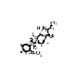 C[C@@H]1CN(S(=O)(=O)c2ccccc2[N+](=O)[O-])[C@@H](C)CN1C(=O)[C@@H](N)CC(C)(C)C